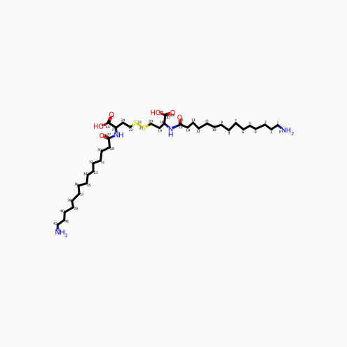 NCCCCCCCCCCCCCCC(=O)NC(CCSSCCC(NC(=O)CCCCCCCCCCCCCCN)C(=O)O)C(=O)O